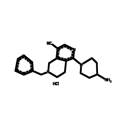 Cl.N#Cc1cnc(N2CCC(N)CC2)c2c1CN(Cc1ccccc1)CC2